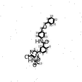 Cc1ccc(-c2cnc(Cl)c(NS(C)(=O)=O)n2)cc1C(=O)Nc1ccc(COCc2ccccc2)cc1